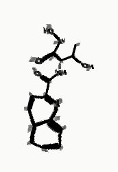 CC(O)[C@H](NC(=O)c1ccc2ccccc2n1)C(=O)NO